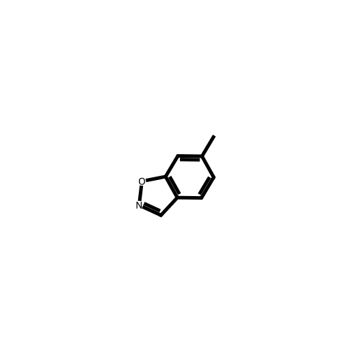 Cc1ccc2cnoc2c1